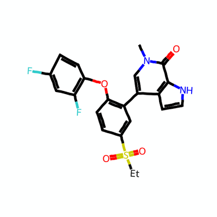 CCS(=O)(=O)c1ccc(Oc2ccc(F)cc2F)c(-c2cn(C)c(=O)c3[nH]ccc23)c1